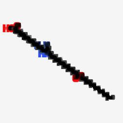 CCCCCCCCCCCCCCOC(=O)CCCCCCCCCCCCCNC(CN)CCCCCCCCCCCCCC(=O)O